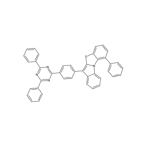 c1ccc(-c2nc(-c3ccccc3)nc(-c3ccc(-c4c5ccccc5n5c4sc4cccc(-c6ccccc6)c45)cc3)n2)cc1